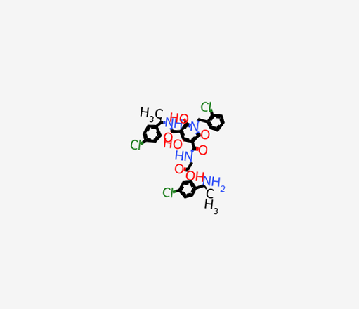 C[C@H](N)c1ccc(Cl)cc1.C[C@H](NC(=O)c1c(O)c(C(=O)NCC(=O)O)c(=O)n(Cc2ccccc2Cl)c1O)c1ccc(Cl)cc1